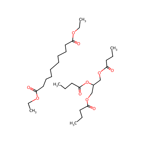 CCCC(=O)OCC(COC(=O)CCC)OC(=O)CCC.CCOC(=O)CCCCCCCCC(=O)OCC